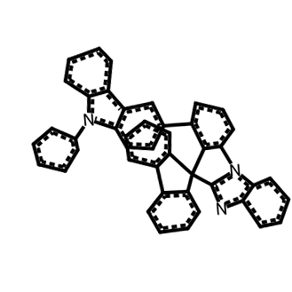 c1ccc(-n2c3ccccc3c3cc(-c4cccc5c4C4(c6ccccc6-c6ccccc64)c4nc6ccccc6n4-5)ccc32)cc1